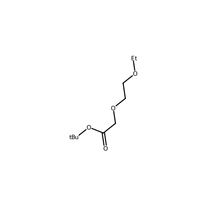 CCOCCOCC(=O)OC(C)(C)C